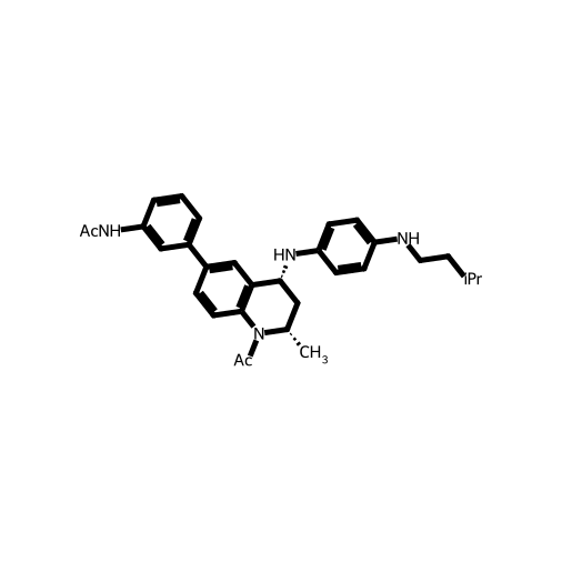 CC(=O)Nc1cccc(-c2ccc3c(c2)[C@H](Nc2ccc(NCCC(C)C)cc2)C[C@H](C)N3C(C)=O)c1